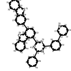 c1ccc(-c2nc(-c3cccc(-c4cccnc4)c3)nc(-c3ccc(-c4ccc5c(c4)sc4ccccc45)c4oc5ccccc5c34)n2)cc1